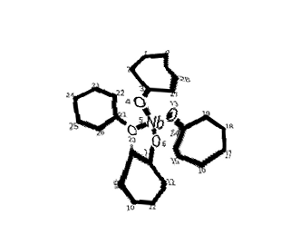 C1CCC([O][Nb]([O]C2CCCCC2)([O]C2CCCCC2)[O]C2CCCCC2)CC1